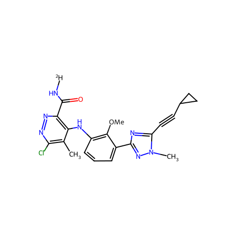 [2H]NC(=O)c1nnc(Cl)c(C)c1Nc1cccc(-c2nc(C#CC3CC3)n(C)n2)c1OC